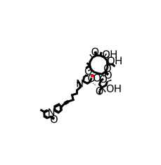 CCC1OC(=O)[C@H](C)[C@H](OC2C[C@@](C)(OC)[C@@H](O)[C@H](C)O2)[C@H](C)[C@@H](OC2C[C@@H](N(C)CCCCCC#Cc3ccc(-n4cc(C)ccc4=O)cc3)C[C@@H](C)O2)C(C)(C)C[C@@H](C)C(=O)C(C)[C@@H](O)[C@]1(C)O